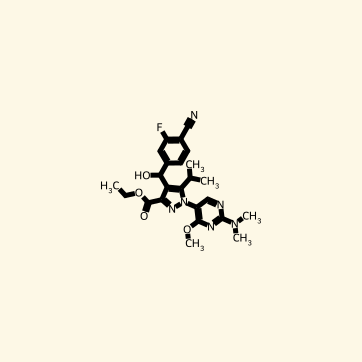 CCOC(=O)c1nn(-c2cnc(N(C)C)nc2OC)c(C(C)C)c1C(O)c1ccc(C#N)c(F)c1